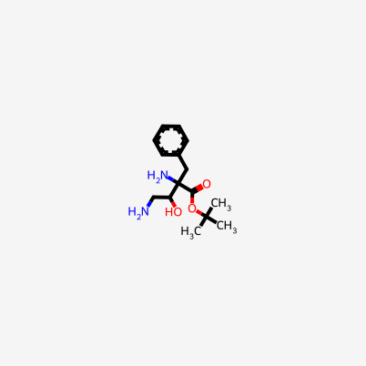 CC(C)(C)OC(=O)C(N)(Cc1ccccc1)C(O)CN